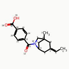 C/C=C1/CC2CC(C)(C1)CN2C(=O)c1ccc(C(=O)O)cc1